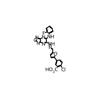 O=C(O)c1cc(-c2ccc(C=NNc3nc4nonc4nc3Nc3ccccc3F)o2)ccc1Cl